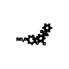 CCOC(=O)N1CCc2oc3c(Cl)cc(S(=O)(=O)c4ccccc4)cc3c2CC1